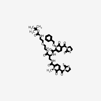 Cn1c(C(=O)NCC(NC(=O)c2ccc(C(=O)N3CCSC3=S)c(=O)n2OCc2ccccc2)C(=O)NCCOCCNC(=O)OC(C)(C)C)ccc(C(=O)N2CCSC2=S)c1=O